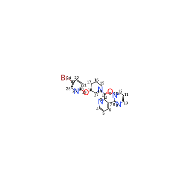 O=C(c1ncccc1-c1ncccn1)N1CCCC(Oc2ccc(Br)cn2)C1